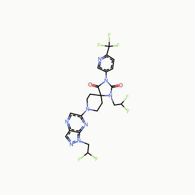 O=C1N(c2ccc(C(F)(F)F)nc2)C(=O)C2(CCN(c3cnc4cnn(CC(F)F)c4n3)CC2)N1CC(F)F